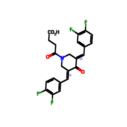 O=C(O)CCC(=O)N1C/C(=C\c2ccc(F)c(F)c2)C(=O)/C(=C/c2ccc(F)c(F)c2)C1